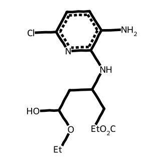 CCOC(=O)CC(CC(O)OCC)Nc1nc(Cl)ccc1N